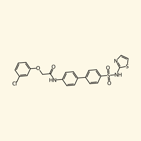 O=C(COc1cccc(Cl)c1)Nc1ccc(-c2ccc(S(=O)(=O)Nc3nccs3)cc2)cc1